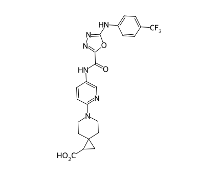 O=C(Nc1ccc(N2CCC3(CC2)CC3C(=O)O)nc1)c1nnc(Nc2ccc(C(F)(F)F)cc2)o1